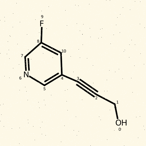 OCC#Cc1cncc(F)c1